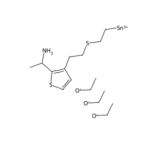 CC(N)c1sccc1CCSC[CH2][Sn+3].CC[O-].CC[O-].CC[O-]